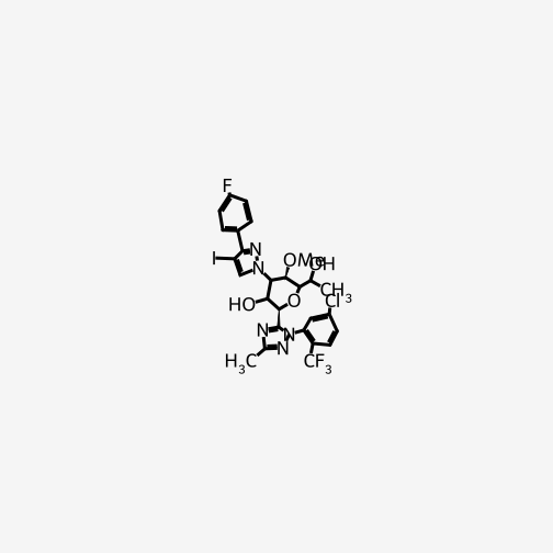 CO[C@H]1C(C(C)O)O[C@@H](c2nc(C)nn2-c2cc(Cl)ccc2C(F)(F)F)C(O)C1n1cc(I)c(-c2ccc(F)cc2)n1